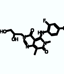 Cc1c(=O)n(C)c(Nc2ccc(I)cc2F)c2c(=O)n(CC(O)CO)cnc12